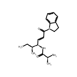 CC[C@H](C)[C@@H](C=CC(=O)N1CCc2ccccc21)NC(=O)[C@H](C)N